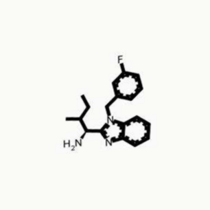 CCC(C)[C@H](N)c1nc2ccccc2n1Cc1cccc(F)c1